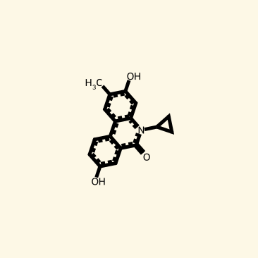 Cc1cc2c3ccc(O)cc3c(=O)n(C3CC3)c2cc1O